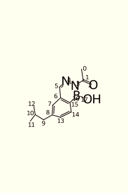 CC(=O)N1N=Cc2cc(CC(C)C)ccc2B1O